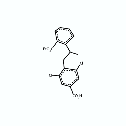 CCOC(=O)c1ccccc1C(C)Cc1c(Cl)cc(C(=O)O)cc1Cl